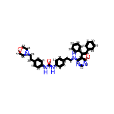 O=C(Nc1ccc(CCNc2ncnc3oc(-c4ccccc4)c(-c4ccccc4)c23)cc1)Nc1ccc(CCN2CCOCC2)cc1